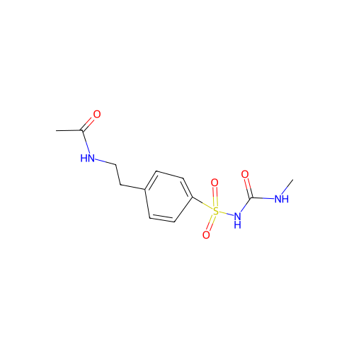 CNC(=O)NS(=O)(=O)c1ccc(CCNC(C)=O)cc1